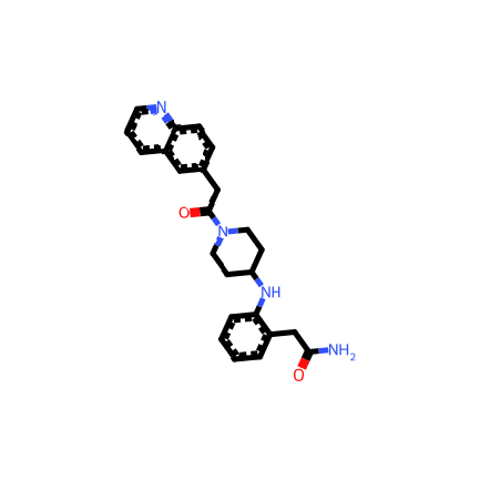 NC(=O)Cc1ccccc1NC1CCN(C(=O)Cc2ccc3ncccc3c2)CC1